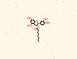 CCCCCCCC(=O)O[C@H]1Cc2c(O)cc(O)cc2O[C@H]1c1ccc(O)c(O)c1